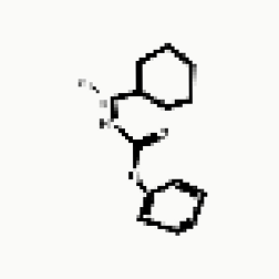 CC(C)[C@@H](NC(=O)Oc1ccccc1)C1CCCCC1